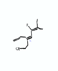 C=C/C(=C\C(F)=C(C)C)CCl